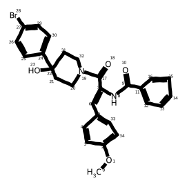 COc1ccc(/C=C(\NC(=O)c2ccccc2)C(=O)N2CCC(O)(c3ccc(Br)cc3)CC2)cc1